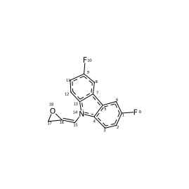 Fc1ccc2c(c1)c1cc(F)ccc1n2C=C1CO1